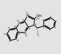 C[C@@H](c1ccccc1)n1c(O)nc2nc3ccccc3nc21